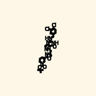 CC(C)(C)OC(=O)N1CCC[C@H](c2nc(Cn3ncc4nc(NCc5ccc(Cl)c(Cl)c5)[nH]c(=O)c43)co2)C1